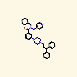 O=C(c1cccc(N2CCN(CCC(c3ccccc3)c3ccccc3)CC2)c1)N(Cc1ccncc1)CC1CCCCC1